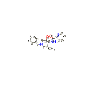 CC1CN(Cc2ccccc2)CC(=O)C1NC(=O)c1ccccn1